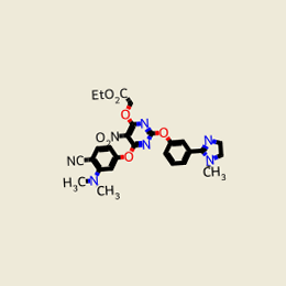 CCOC(=O)COc1nc(Oc2cccc(C3=NCCN3C)c2)nc(Oc2ccc(C#N)c(N(C)C)c2)c1[N+](=O)[O-]